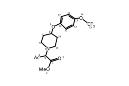 COC(=O)C(C(C)=O)N1CCC(Oc2ccc(OC(F)(F)F)cc2)CC1